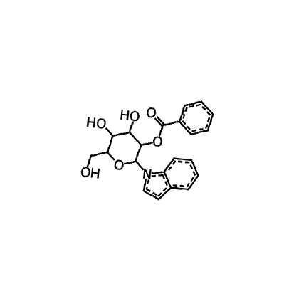 O=C(OC1C(O)C(O)C(CO)OC1n1ccc2ccccc21)c1ccccc1